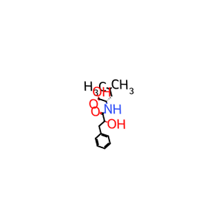 CC(C)C[C@H](NC(=O)[C@@H](O)Cc1ccccc1)C(=O)O